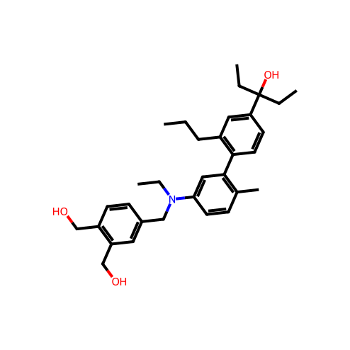 CCCc1cc(C(O)(CC)CC)ccc1-c1cc(N(CC)Cc2ccc(CO)c(CO)c2)ccc1C